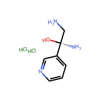 Cl.Cl.NC[C@](N)(O)c1cccnc1